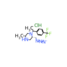 CC(c1ccc(C(F)(F)F)cc1)N1C[C@H](C)NC[C@H]1CN=[N+]=[N-].Cl